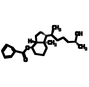 C[C@@H](O)CCC[C@H](C)[C@H]1CC[C@H]2C(OC(=O)c3ccccc3)CCC[C@]12C